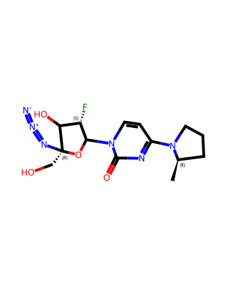 C[C@@H]1CCCN1c1ccn(C2O[C@@](CO)(N=[N+]=[N-])C(O)[C@@H]2F)c(=O)n1